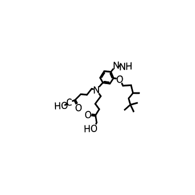 CC(CCOc1cc(N(CCCC(=O)CO)CCCC(=O)CO)ccc1N=N)CC(C)(C)C